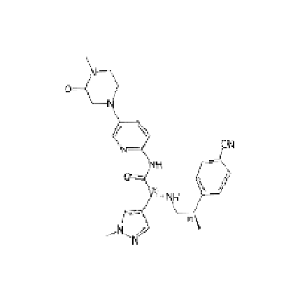 C[C@@H](CN[C@@H](C(=O)Nc1ccc(N2CCN(C)C(=O)C2)cn1)c1cnn(C)c1)c1ccc(C#N)cc1